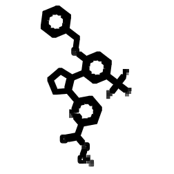 COC(=O)c1cccc(C2=C(c3cc(C(F)(F)F)ccc3OCc3ccccc3)CCC2)n1